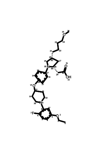 CCOc1ccc(F)c(N2CCC(Oc3ccc(N4C[C@H](CCCCOC)C[C@@H]4CC(=O)O)cc3)CC2)c1